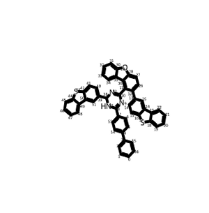 c1ccc(-c2ccc(C3=NC(c4c(-c5ccc6sc7ccccc7c6c5)ccc5oc6ccccc6c45)=NC(c4ccc5sc6ccccc6c5c4)N3)cc2)cc1